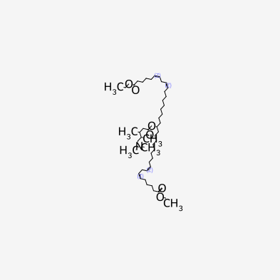 CCOC(=O)CCCC/C=C\C/C=C\CCCCCCCCC(CCCCCCCC/C=C\C/C=C\CCCCC(=O)OCC)OC(=O)CC(C)C(C)CN(C)C